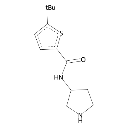 CC(C)(C)c1ccc(C(=O)NC2CCNC2)s1